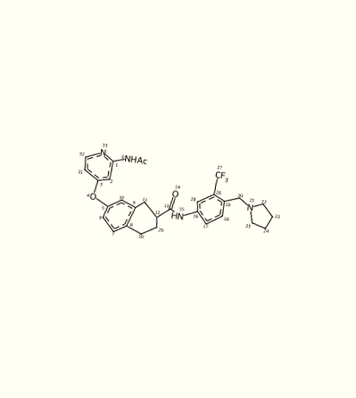 CC(=O)Nc1cc(Oc2ccc3c(c2)CC(C(=O)Nc2ccc(CN4CCCC4)c(C(F)(F)F)c2)CC3)ccn1